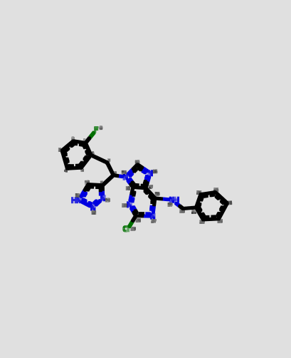 Fc1ccccc1CC(c1c[nH]nn1)n1cnc2c(NCc3ccccc3)nc(Cl)nc21